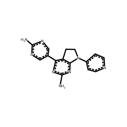 Nc1ncc(-c2nc(N)nc3c2CCN3c2ccncc2)cn1